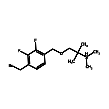 C[SiH](C)C(C)(C)COCc1ccc(CBr)c(F)c1F